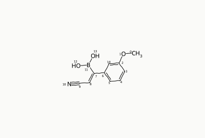 COc1cccc(C(=CC#N)B(O)O)c1